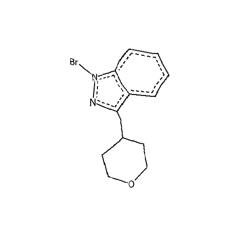 Brn1nc(C2CCOCC2)c2ccccc21